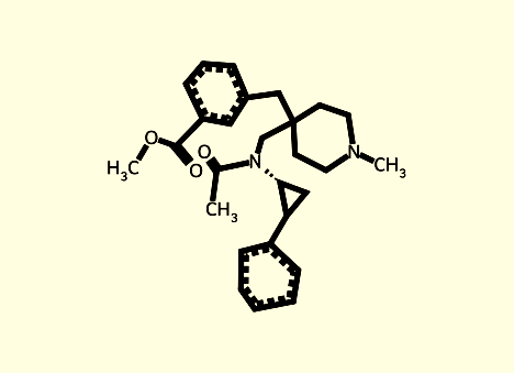 COC(=O)c1cccc(CC2(CN(C(C)=O)[C@@H]3CC3c3ccccc3)CCN(C)CC2)c1